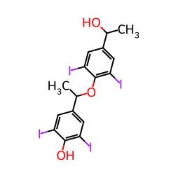 CC(O)c1cc(I)c(OC(C)c2cc(I)c(O)c(I)c2)c(I)c1